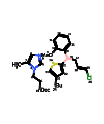 CCCCCCCCCCCCn1cncc1C.COc1ccccc1B(CC=CCl)c1cc(C(C)(C)C)cs1